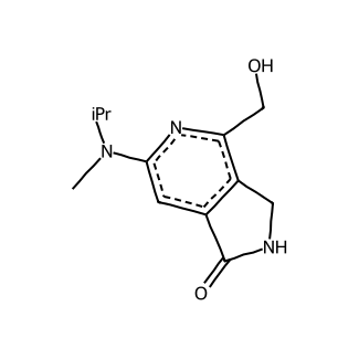 CC(C)N(C)c1cc2c(c(CO)n1)CNC2=O